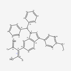 COc1ncc(-c2cn(C(c3ccccc3)c3ccccn3)c3cc(/C(C(C)=N)=C(\C)O)ccc23)cn1